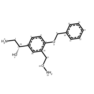 NC[C@@H](O)c1ccc(OCc2ccccc2)c(CON)c1